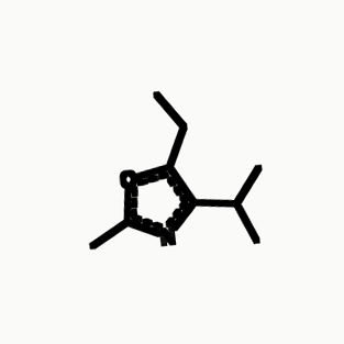 CCc1oc(C)nc1C(C)C